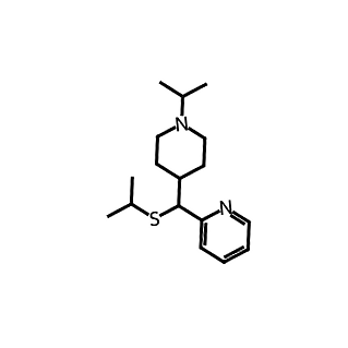 CC(C)SC(c1ccccn1)C1CCN(C(C)C)CC1